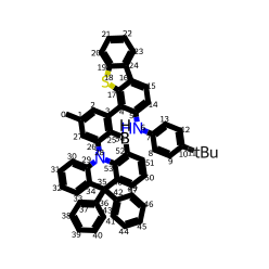 Cc1cc(-c2c(Nc3ccc(C(C)(C)C)cc3)ccc3c2sc2ccccc23)c2c(c1)N1c3ccccc3C(c3ccccc3)(c3ccccc3)c3cccc(c31)B2